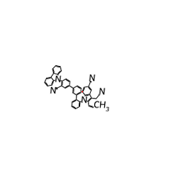 C/C=C\c1c(CC#N)c2cc(C#N)ccc2n1-c1ccccc1-c1cccc(-c2ccc(-n3c4ccccc4c4ccccc43)c(C#N)c2)c1